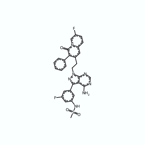 CS(=O)(=O)Nc1cc(F)cc(-c2nn(CCc3cc4ccc(F)cn4c(=O)c3-c3ccccc3)c3ncnc(N)c23)c1